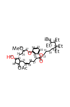 CCC(C)C(CC)C(CC)C(CC)C(CC)CCCCOC(=O)CCC/C=C\C[C@@H]1[C@@H](CC[C@H](COc2ccccc2)OC)[C@H](O)C[C@@H]1OC(C)=O